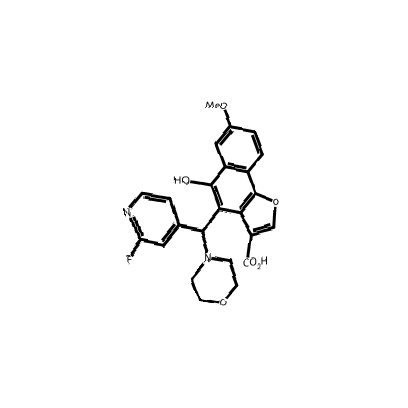 COc1ccc2c(c1)c(O)c(C(c1ccnc(F)c1)N1CCOCC1)c1c(C(=O)O)coc12